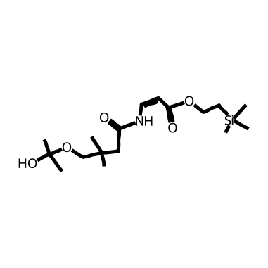 CC(C)(COC(C)(C)O)CC(=O)N/C=C\C(=O)OCC[Si](C)(C)C